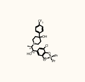 CC(C)[Si](Oc1c(Cl)cc([C@@H](O)[C@@H](C)N2CCC(O)(c3ccc(C(F)(F)F)cc3)CC2)cc1Cl)(C(C)C)C(C)C